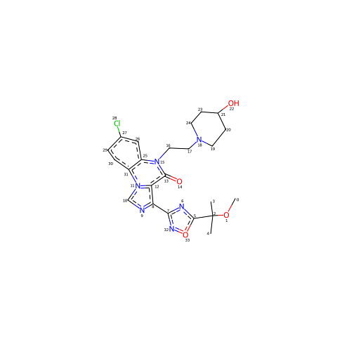 COC(C)(C)c1nc(-c2ncn3c2c(=O)n(CCN2CCC(O)CC2)c2cc(Cl)ccc23)no1